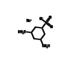 O=C(O)C1CC(C(=O)O)CC(S(=O)(=O)[O-])C1.[Na+]